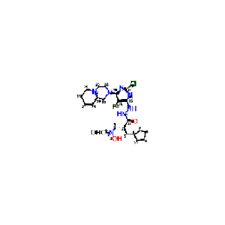 O=CN(O)C[C@@H](CC1CCCC1)C(=O)NNc1nc(Cl)nc(N2CCN3CCCCC3C2)c1F